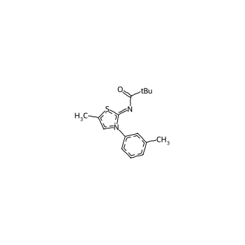 Cc1cccc(-n2cc(C)sc2=NC(=O)C(C)(C)C)c1